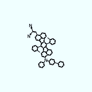 Cc1ccccc1-c1c2c3cccc4c(C=C(C#N)C#N)ccc(c2c(-c2ccccc2C)c2c5ccc(N(c6ccccc6)c6ccc(-c7ccccc7)cc6)c6cccc(c12)c65)c43